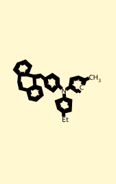 CCc1ccc(N(c2ccc(C)cc2)c2ccc(C=C3c4ccccc4C=Cc4ccccc43)cc2)cc1